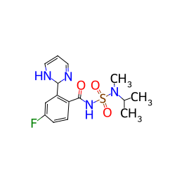 CC(C)N(C)S(=O)(=O)NC(=O)c1ccc(F)cc1C1N=CC=CN1